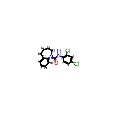 O=C(Nc1ccc(Cl)cc1Cl)N1CCCCc2ccccc21